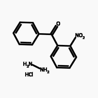 Cl.NN.O=C(c1ccccc1)c1ccccc1[N+](=O)[O-]